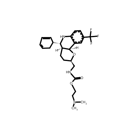 CN(C)CCOC(=O)NC[C@H]1CC[C@@H]2[C@H](O1)c1cc(C(F)(F)F)ccc1N[C@H]2C1C=CC=CC1